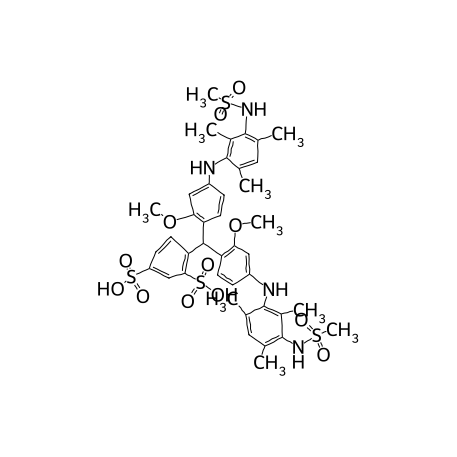 COc1cc(Nc2c(C)cc(C)c(NS(C)(=O)=O)c2C)ccc1C(c1ccc(Nc2c(C)cc(C)c(NS(C)(=O)=O)c2C)cc1OC)c1ccc(S(=O)(=O)O)cc1S(=O)(=O)O